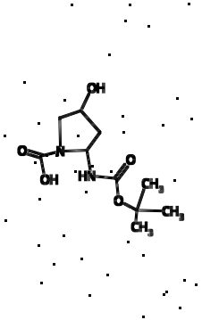 CC(C)(C)OC(=O)NC1CC(O)CN1C(=O)O